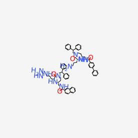 N=C(N)NCCC[C@@H]1N[C@H](CNC(=O)c2ccc3ccccc3c2)CCN(CC(c2ccccc2)c2ccccc2)C1=O.NCCC[C@@H]1N[C@H](CNC(=O)c2ccc(-c3ccccc3)cc2)CCN(CC(c2ccccc2)c2ccccc2)C1=O